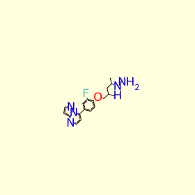 CC(COc1ccc(-c2ccnc3ccnn23)cc1F)CC(C)NN